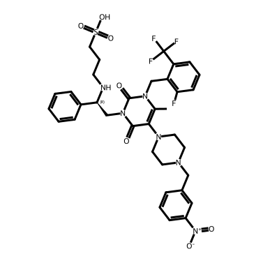 Cc1c(N2CCN(Cc3cccc([N+](=O)[O-])c3)CC2)c(=O)n(C[C@H](NCCCS(=O)(=O)O)c2ccccc2)c(=O)n1Cc1c(F)cccc1C(F)(F)F